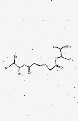 CCC(CC)C(N)OC(=O)CCCCC(=O)OC(N)C(CC)CC